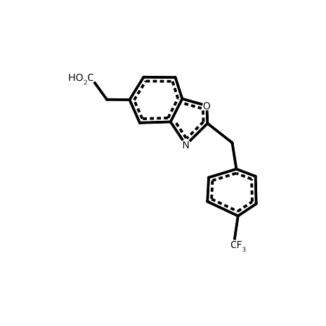 O=C(O)Cc1ccc2oc(Cc3ccc(C(F)(F)F)cc3)nc2c1